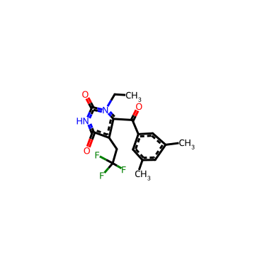 CCn1c(C(=O)c2cc(C)cc(C)c2)c(CC(F)(F)F)c(=O)[nH]c1=O